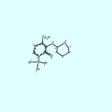 CC(C)[Si](C(C)C)(C(C)C)n1cnc(C(=O)O)c(OC2CCCCO2)c1=O